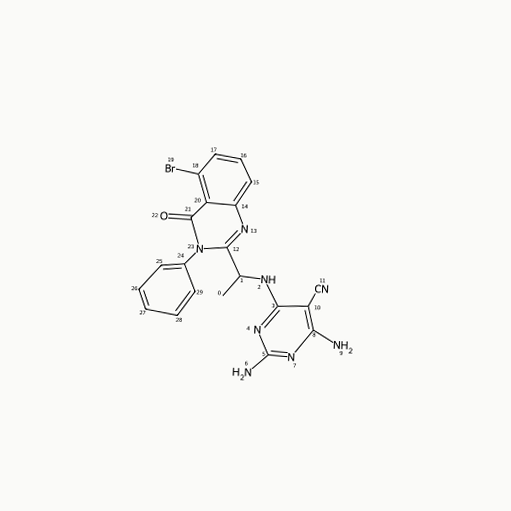 CC(Nc1nc(N)nc(N)c1C#N)c1nc2cccc(Br)c2c(=O)n1-c1ccccc1